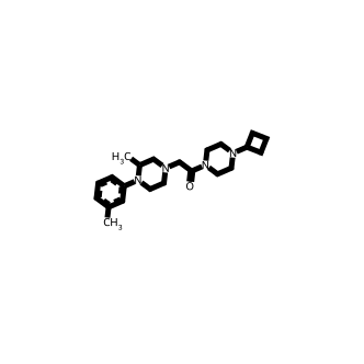 Cc1cccc(N2CCN(CC(=O)N3CCN(C4CCC4)CC3)CC2C)c1